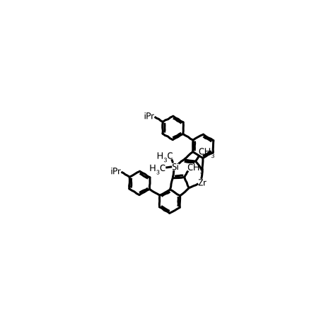 CC1=C2c3c(-c4ccc(C(C)C)cc4)cccc3[CH]1[Zr][CH]1C(C)=C(c3c(-c4ccc(C(C)C)cc4)cccc31)[Si]2(C)C